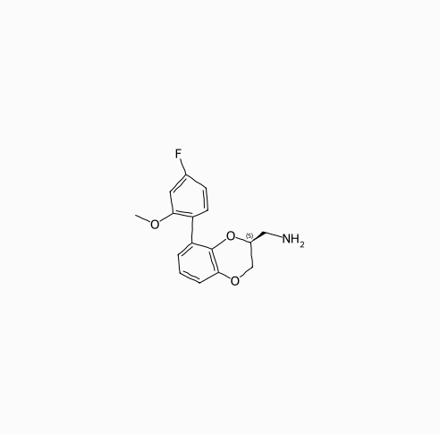 COc1cc(F)ccc1-c1cccc2c1O[C@@H](CN)CO2